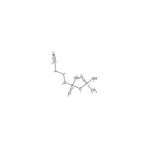 CP(=O)(O)OP(=O)(O)OCCC#N